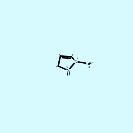 CCCN1C=CCN1